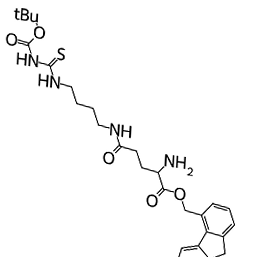 CC(C)(C)OC(=O)NC(=S)NCCCCNC(=O)CCC(N)C(=O)OCc1cccc2c1-c1ccccc1C2